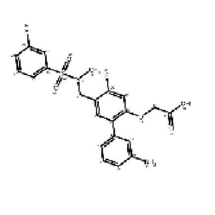 CN(Cc1cc(-c2cccc(N)c2)c(OCC(=O)O)cc1F)S(=O)(=O)c1cccc(F)c1